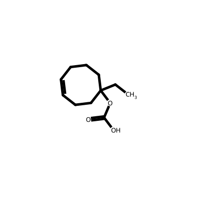 CCC1(OC(=O)O)CCC=CCCC1